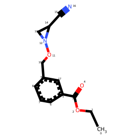 CCOC(=O)c1cccc(CON2CC2C#N)c1